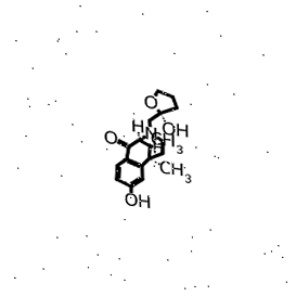 C[C@H]1[C@H]2C(=O)c3ccc(O)cc3[C@]1(C)CCN2C[C@]1(O)CCCO1